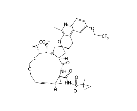 Cc1nc2ccc(OCC(F)(F)F)cc2c2c1O[C@]1(CC2)C[C@H]2C(=O)N[C@]3(C(=O)NS(=O)(=O)C4(C)CC4)C[C@H]3C=CCCCCC[C@H](NC(=O)O)C(=O)N2C1